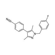 Cc1nn(Cc2ccc(F)cc2)c(C)c1-c1ccc(C#N)cc1